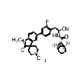 CN1CCC2(CC1)C(=O)N(C)c1ccc(-c3ccc(C[C@@H](C#N)NC(=O)[C@H]4NC5CC[C@H]4C5)c(F)c3)cc12